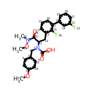 COc1ccc(CN(C(=O)O)C(Cc2cccc(-c3cccc(F)c3)c2F)C(=O)N(C)OC)cc1